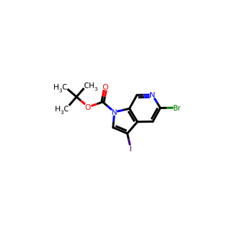 CC(C)(C)OC(=O)n1cc(I)c2cc(Br)ncc21